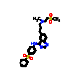 CN(CCCc1ccc2ncnc(Nc3ccc(S(=O)(=O)c4ccccc4)cc3)c2c1)CCS(C)(=O)=O